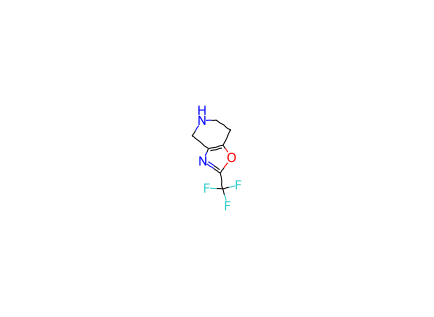 FC(F)(F)c1nc2c(o1)CCNC2